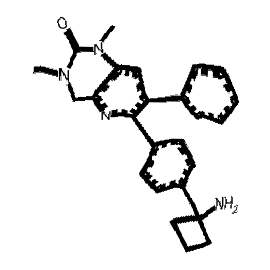 CN1Cc2nc(-c3ccc(C4(N)CCC4)cc3)c(-c3ccccc3)cc2N(C)C1=O